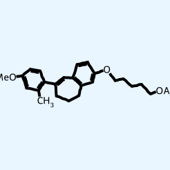 COc1ccc(C2=Cc3ccc(OCCCCCOC(C)=O)cc3CCC2)c(C)c1